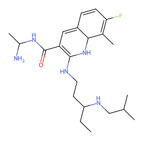 CCC(CCNC1=C(C(=O)NC(C)N)C=C2C=CC(F)=C(C)C2N1)NCC(C)C